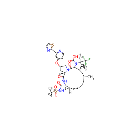 C[C@@H]1CC/C=C\[C@@H]2C[C@@]2(C(=O)NS(=O)(=O)C2(C)CC2)NC(=O)[C@@H]2C[C@@H](Oc3ccnc(-c4nccs4)c3)CN2C(=O)[C@@H](N(C(=O)O)C(C)(C)C(F)(F)F)[C@H](C)C1